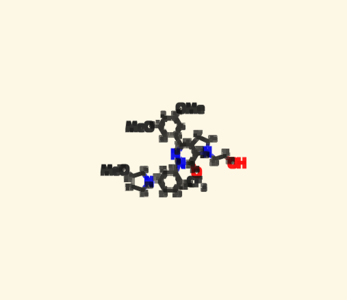 COc1cc(OC)cc(-c2nn(-c3cc(N4CCC(OC)C4)ccc3C(F)(F)F)c(=O)c3c2CCN3CCO)c1